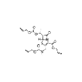 C=CCOC(=O)O[C@H](C)[C@H]1C(=O)N2C(C(=O)OCC=C)=C(CN(C)C(=O)OCC=C)S[C@H]12